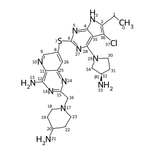 CCc1[nH]c2nc(Sc3cnc4c(N)nc(CN5CCC(N)CC5)nc4c3)nc(N3CC[C@@H](N)C3)c2c1Cl